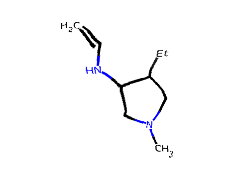 C=CNC1CN(C)CC1CC